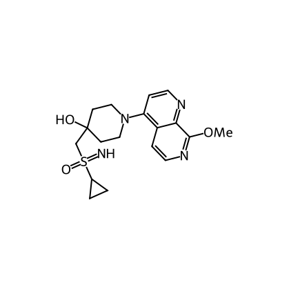 COc1nccc2c(N3CCC(O)(CS(=N)(=O)C4CC4)CC3)ccnc12